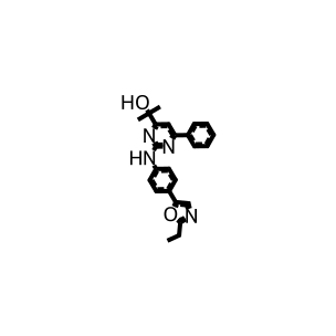 CCc1ncc(-c2ccc(Nc3nc(-c4ccccc4)cc(C(C)(C)O)n3)cc2)o1